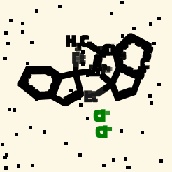 CC[C]1([Zr+2](=[Si](C)C)[C]2(CC)C=Cc3ccccc32)C=Cc2ccccc21.[Cl-].[Cl-]